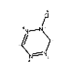 ClN1CN=NC=N1